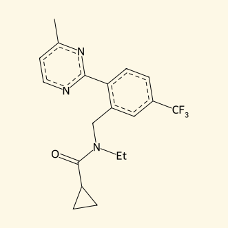 CCN(Cc1cc(C(F)(F)F)ccc1-c1nccc(C)n1)C(=O)C1CC1